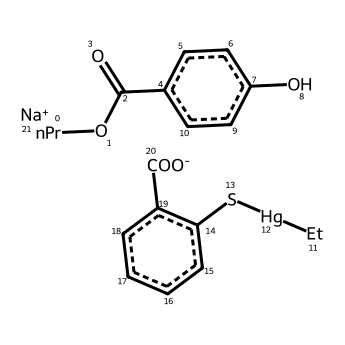 CCCOC(=O)c1ccc(O)cc1.C[CH2][Hg][S]c1ccccc1C(=O)[O-].[Na+]